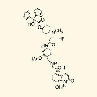 COc1cc(NC(=O)CCN(C)[C@H]2CC[C@H](OC(=O)C(O)(c3cccs3)c3cccs3)CC2)ccc1CNC[C@H](O)c1ccc(O)c2[nH]c(=O)ccc12.F